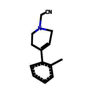 Cc1ccccc1C1=CCN(CC#N)CC1